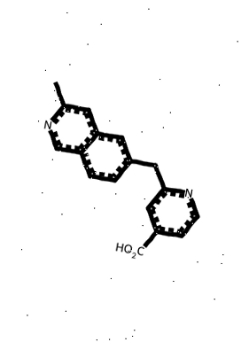 Cc1cc2cc(Cc3cc(C(=O)O)ccn3)ccc2cn1